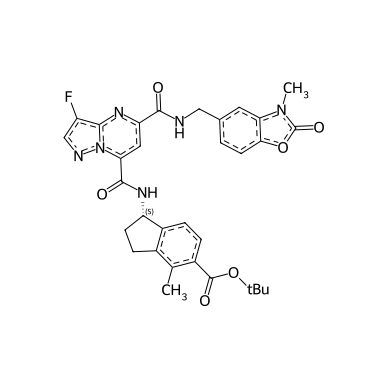 Cc1c(C(=O)OC(C)(C)C)ccc2c1CC[C@@H]2NC(=O)c1cc(C(=O)NCc2ccc3oc(=O)n(C)c3c2)nc2c(F)cnn12